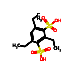 CCc1cc(CC)c(S(=O)(=O)O)c(CC)c1S(=O)(=O)O